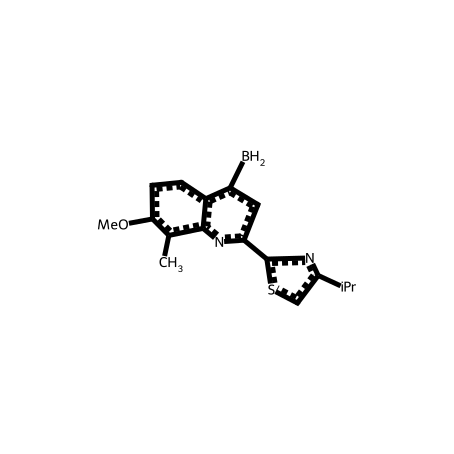 Bc1cc(-c2nc(C(C)C)cs2)nc2c(C)c(OC)ccc12